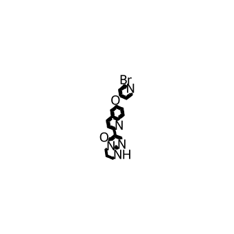 O=c1c(-c2ccc3cc(Oc4ccnc(Br)c4)ccc3n2)cnc2n1CCCN2